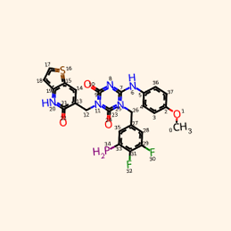 COc1ccc(Nc2nc(=O)n(Cc3cc4sccc4[nH]c3=O)c(=O)n2Cc2cc(F)c(F)c(P)c2)cc1